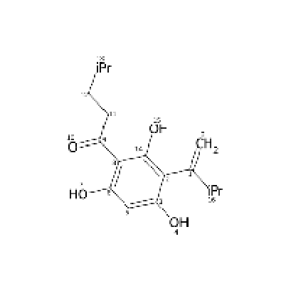 C=C(c1c(O)cc(O)c(C(=O)CCC(C)C)c1O)C(C)C